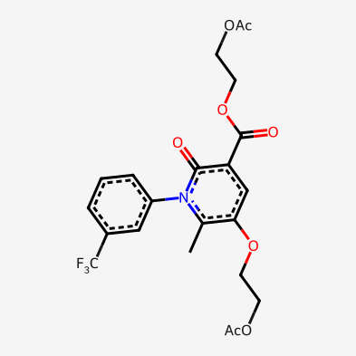 CC(=O)OCCOC(=O)c1cc(OCCOC(C)=O)c(C)n(-c2cccc(C(F)(F)F)c2)c1=O